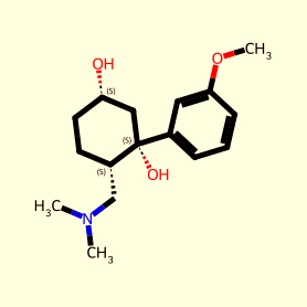 COc1cccc([C@]2(O)C[C@@H](O)CC[C@H]2CN(C)C)c1